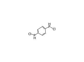 ClPc1ccc(PCl)cc1